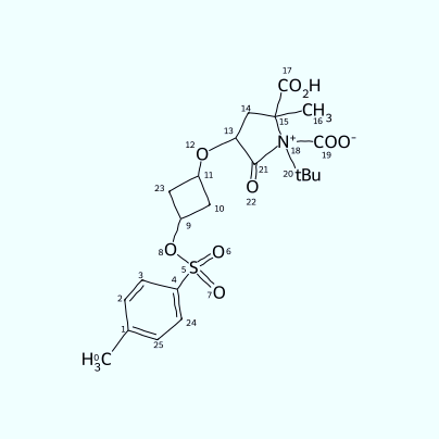 Cc1ccc(S(=O)(=O)OC2CC(OC3CC(C)(C(=O)O)[N+](C(=O)[O-])(C(C)(C)C)C3=O)C2)cc1